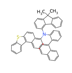 CC1(C)c2ccccc2-c2c(N(c3ccccc3-c3cccc4ccccc34)c3cccc4c3ccc3sc5ccccc5c34)cccc21